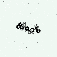 CC(c1ccc(N[S@+]([O-])c2cccc3c2N(C)CC=C3)cc1)N1CCN(C(c2ccccc2)C(F)(F)F)CC1